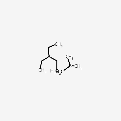 CB(C)C.CCB(CC)CC